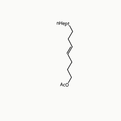 CCCCCCCCCC=CCCCOC(C)=O